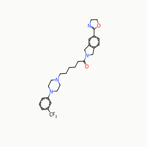 O=C(CCCCCN1CCN(c2cccc(C(F)(F)F)c2)CC1)N1Cc2ccc(C3=NCCO3)cc2C1